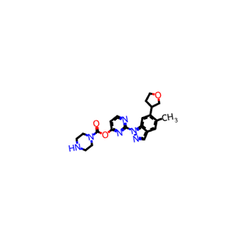 Cc1cc2cnn(-c3nccc(OC(=O)N4CCNCC4)n3)c2cc1C1CCOC1